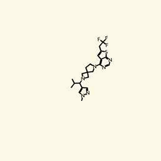 CC(C)C(c1cnn(C)c1)N1CC2(CCN(c3ncnc4sc(CC(F)(F)F)cc34)C2)C1